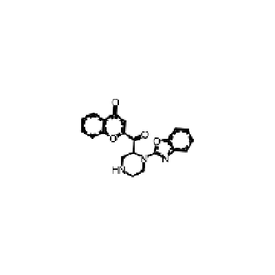 O=C(c1cc(=O)c2ccccc2o1)C1CNCCN1c1nc2ccccc2o1